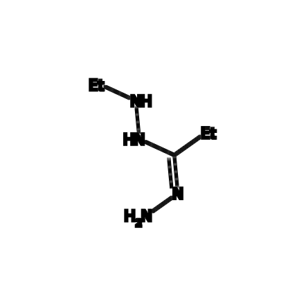 CCNN/C(CC)=N\N